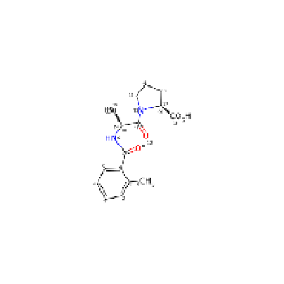 Cc1ccccc1C(=O)N[C@H](C(=O)N1CCC[C@H]1C(=O)O)C(C)(C)C